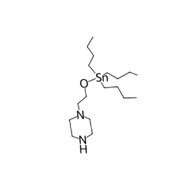 CCC[CH2][Sn]([CH2]CCC)([CH2]CCC)[O]CCN1CCNCC1